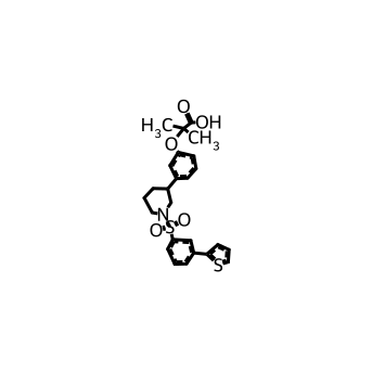 CC(C)(Oc1cccc(C2CCCN(S(=O)(=O)c3cccc(-c4cccs4)c3)C2)c1)C(=O)O